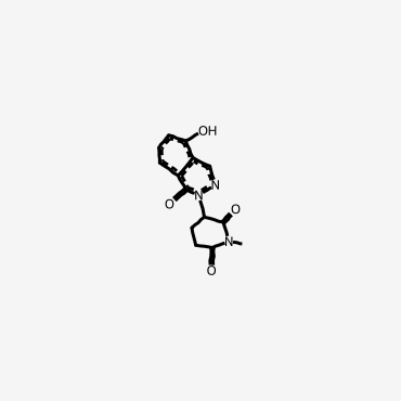 CN1C(=O)CCC(n2ncc3c(O)cccc3c2=O)C1=O